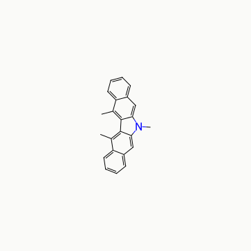 Cc1c2ccccc2cc2c1c1c(C)c3ccccc3cc1n2C